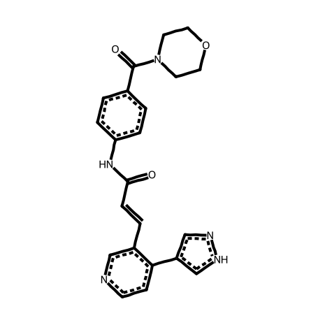 O=C(/C=C/c1cnccc1-c1cn[nH]c1)Nc1ccc(C(=O)N2CCOCC2)cc1